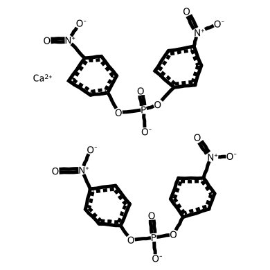 O=[N+]([O-])c1ccc(OP(=O)([O-])Oc2ccc([N+](=O)[O-])cc2)cc1.O=[N+]([O-])c1ccc(OP(=O)([O-])Oc2ccc([N+](=O)[O-])cc2)cc1.[Ca+2]